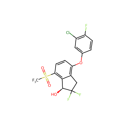 O=S(=O)(c1ccc(Oc2ccc(F)c(Cl)c2)c2c1[C@H](O)C(F)(F)C2)C(F)(F)F